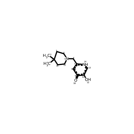 CC1(C)CCN(Cc2cc(=O)c(O)c[nH]2)CC1